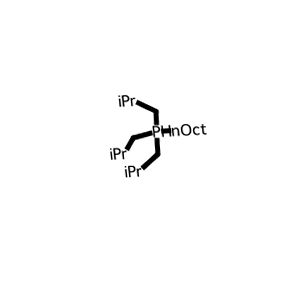 CCCCCCCC[PH](CC(C)C)(CC(C)C)CC(C)C